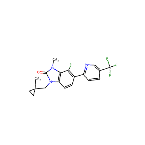 Cn1c(=O)n(CC2(C)CC2)c2ccc(-c3ccc(C(F)(F)F)cn3)c(F)c21